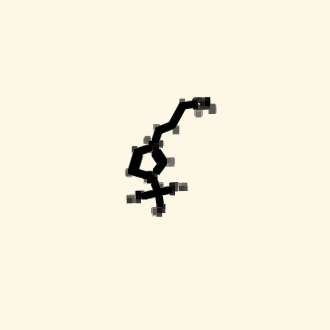 CCCC[n+]1ccn(C(F)(F)F)c1